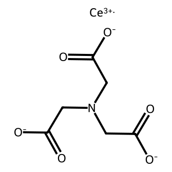 O=C([O-])CN(CC(=O)[O-])CC(=O)[O-].[Ce+3]